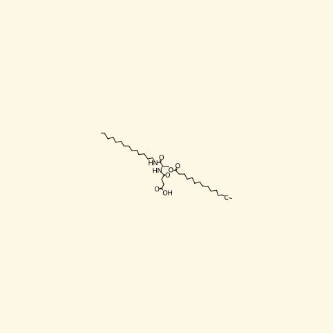 CCCCCCCCCCCCCCNC(=O)C(COC(=O)CCCCCCCCCCCCCC)NC(=O)CCC(=O)O